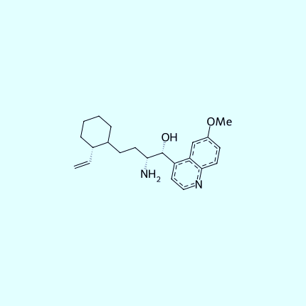 C=C[C@@H]1CCCCC1CC[C@@H](N)[C@H](O)c1ccnc2ccc(OC)cc12